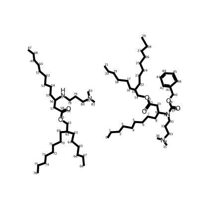 CCCCCCCCCC(CC(=O)OCC(CCCCCC)CCCCCCCC)N(CCCN(C)C)C(=O)OCc1ccccc1.CCCCCCCCCC(CC(=O)OCC(CCCCCC)CCCCCCCC)NCCCN(C)C